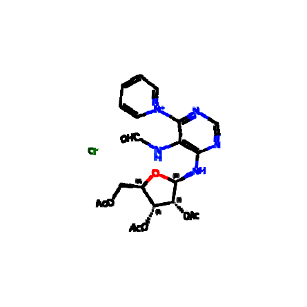 CC(=O)OC[C@H]1O[C@@H](Nc2ncnc(-[n+]3ccccc3)c2NC=O)[C@H](OC(C)=O)[C@@H]1OC(C)=O.[Cl-]